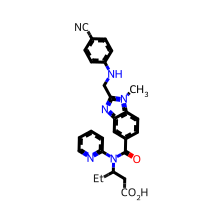 CCC(CC(=O)O)N(C(=O)c1ccc2c(c1)nc(CNc1ccc(C#N)cc1)n2C)c1ccccn1